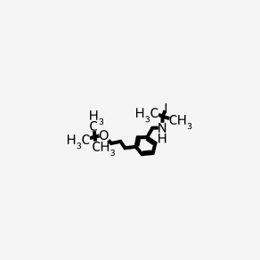 CC(C)(I)NCc1cccc(CCCOC(C)(C)C)c1